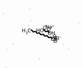 CCCCCCCCCCCCOS(=O)(=O)[O-].O=C(O)CC(=O)O.[Na+]